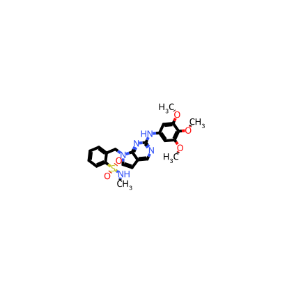 CNS(=O)(=O)c1ccccc1Cn1ccc2cnc(Nc3cc(OC)c(OC)c(OC)c3)nc21